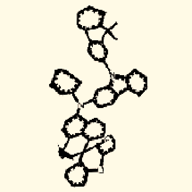 CC1(C)c2ccccc2-c2ccc(-n3c4ccccc4c4ccc(N(c5ccccc5)c5ccc6c7c(cccc57)C5(c7ccccc7Oc7ccccc75)c5ccccc5-6)cc43)cc21